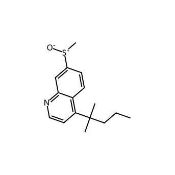 CCCC(C)(C)c1ccnc2cc([S+](C)[O-])ccc12